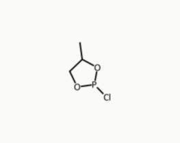 CC1COP(Cl)O1